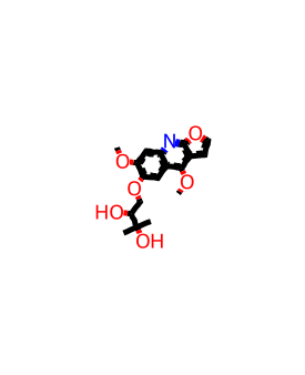 COc1cc2nc3occc3c(OC)c2cc1OCC(O)C(C)(C)O